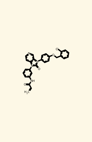 C=CC(=O)Nc1cccc(-n2c(=O)n(-c3ccc(OCc4ccccc4Cl)cc3)c3cnccc32)c1